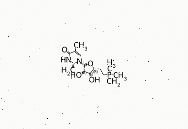 C=C1NC(=O)C(C)=CN1[C@@H]1O[C@H](CCP(=C)(C)C)[C@@H](O)[C@H]1O